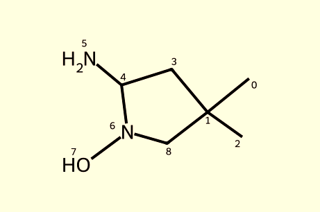 CC1(C)CC(N)N(O)C1